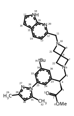 COC(=O)C[C@H](CN1CC2(CN(Cc3ccc4cc[nH]c4n3)C2)C1)c1cc(-n2nc(C)cc2C)cc(C(C)(C)C)c1